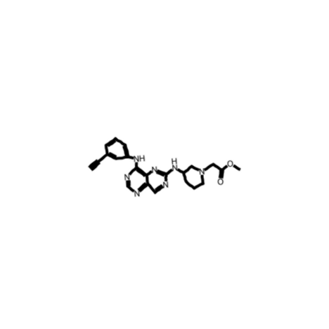 C#Cc1cccc(Nc2ncnc3cnc(NC4CCCN(CC(=O)OC)C4)nc23)c1